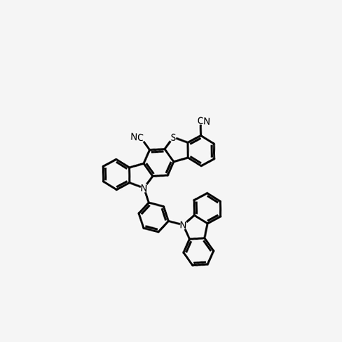 N#Cc1cccc2c1sc1c(C#N)c3c4ccccc4n(-c4cccc(-n5c6ccccc6c6ccccc65)c4)c3cc12